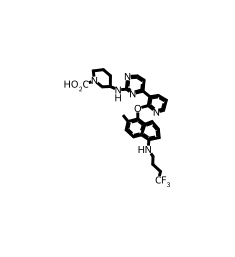 Cc1ccc2c(NCCCC(F)(F)F)cccc2c1Oc1ncccc1-c1ccnc(NC2CCCN(C(=O)O)C2)n1